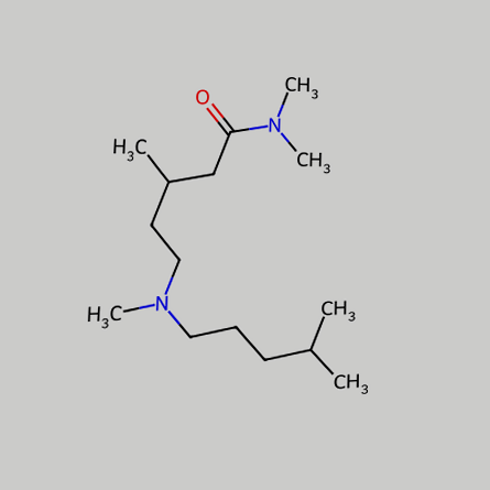 CC(C)CCCN(C)CCC(C)CC(=O)N(C)C